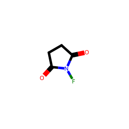 O=C1CCC(=O)N1F